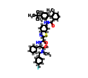 Cc1cccc(C(=O)Nc2ccc3nc(C(=O)N[C@H](C(=O)N(C)Cc4ccc(F)cc4)c4ccccc4)sc3c2)c1-c1ccc(C(C)(C)C)cc1